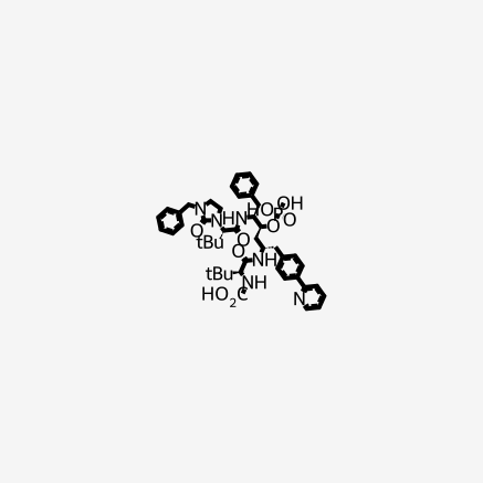 CC(C)(C)[C@H](NC(=O)O)C(=O)N[C@@H](Cc1ccc(-c2ccccn2)cc1)C[C@H](OP(=O)(O)O)[C@H](Cc1ccccc1)NC(=O)[C@@H](N1CCN(Cc2ccccc2)C1=O)C(C)(C)C